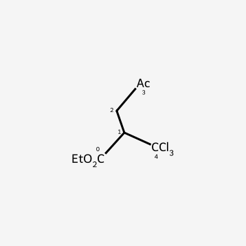 CCOC(=O)C(CC(C)=O)C(Cl)(Cl)Cl